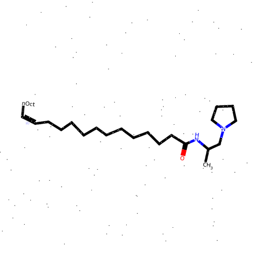 CCCCCCCC/C=C\CCCCCCCCCCCC(=O)NC(C)CN1CCCC1